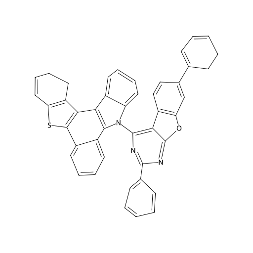 C1=CCCC(c2ccc3c(c2)oc2nc(-c4ccccc4)nc(-n4c5ccccc5c5c6c7c(sc6c6ccccc6c54)C=CCC7)c23)=C1